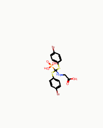 O=C(O)CNC(Sc1ccc(Br)cc1)(Sc1ccc(Br)cc1)P(=O)(O)O